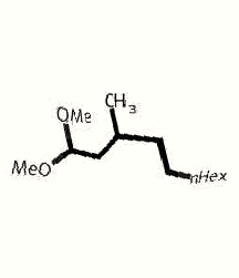 CCCCCCCCC(C)CC(OC)OC